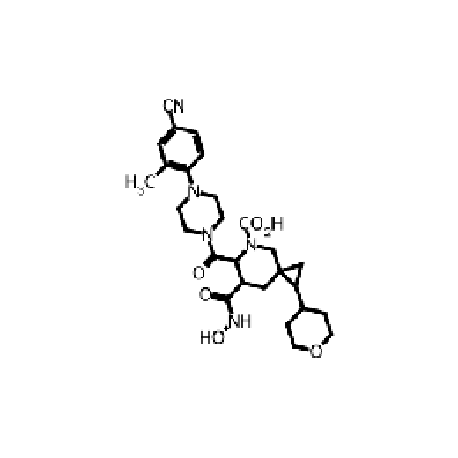 Cc1cc(C#N)ccc1N1CCN(C(=O)C2C(C(=O)NO)CC3(CC3C3CCOCC3)CN2C(=O)O)CC1